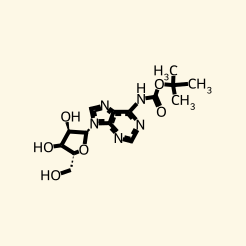 CC(C)(C)OC(=O)Nc1ncnc2c1ncn2[C@@H]1O[C@H](CO)C(O)[C@H]1O